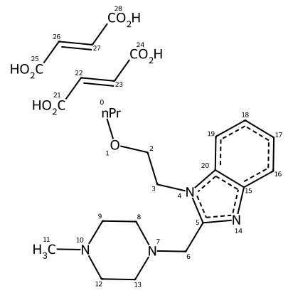 CCCOCCn1c(CN2CCN(C)CC2)nc2ccccc21.O=C(O)/C=C/C(=O)O.O=C(O)/C=C/C(=O)O